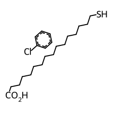 Clc1ccccc1.O=C(O)CCCCCCCCCCCCCCCS